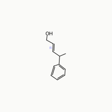 CC(/C=C/CO)c1ccccc1